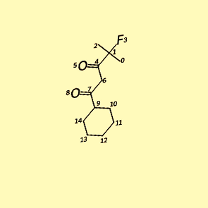 CC(C)(F)C(=O)CC(=O)C1CCCCC1